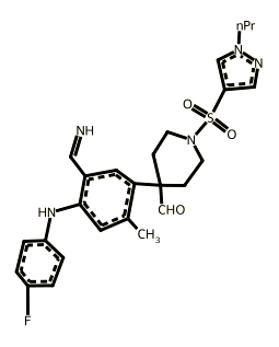 CCCn1cc(S(=O)(=O)N2CCC(C=O)(c3cc(C=N)c(Nc4ccc(F)cc4)cc3C)CC2)cn1